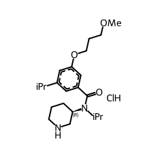 COCCCOc1cc(C(=O)N(C(C)C)[C@@H]2CCCNC2)cc(C(C)C)c1.Cl